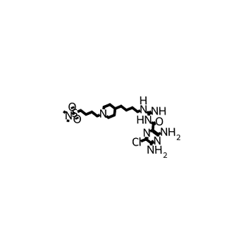 CN(C)S(=O)(=O)CCCCN1CCC(CCCCNC(=N)NC(=O)c2nc(Cl)c(N)nc2N)CC1